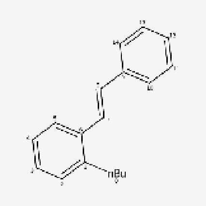 CCCCc1ccccc1/C=C/c1ccccc1